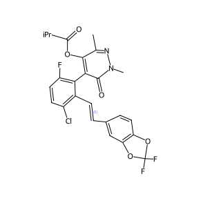 Cc1nn(C)c(=O)c(-c2c(F)ccc(Cl)c2/C=C/c2ccc3c(c2)OC(F)(F)O3)c1OC(=O)C(C)C